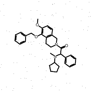 COc1ccc2c(c1OCc1ccccc1)CCN(C(=O)C(c1ccccc1)N(C)C1CCCC1)C2